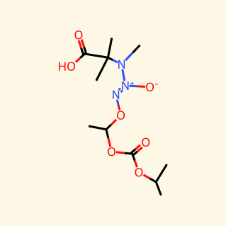 CC(C)OC(=O)OC(C)ON=[N+]([O-])N(C)C(C)(C)C(=O)O